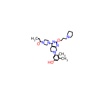 C=CC(=O)N1CCN(c2nc(OCCCN3CCCCC3)nc3c2CCN(c2cc(O)cc(C)c2C)C3)CC1